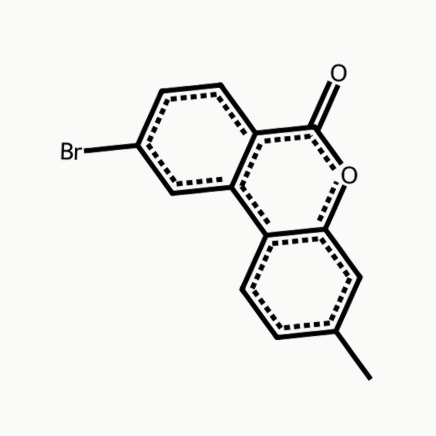 Cc1ccc2c(c1)oc(=O)c1ccc(Br)cc12